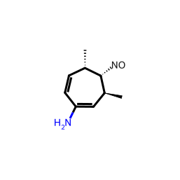 C[C@H]1C=CC(N)=C[C@H](C)[C@H]1N=O